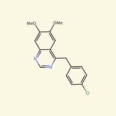 COc1cc2ncnc(Cc3ccc(Cl)cc3)c2cc1OC